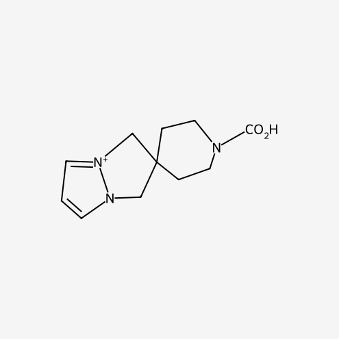 O=C(O)N1CCC2(CC1)Cn1ccc[n+]1C2